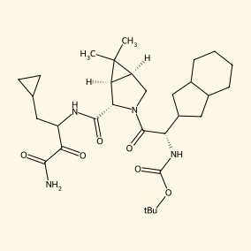 CC(C)(C)OC(=O)N[C@H](C(=O)N1C[C@H]2[C@@H]([C@H]1C(=O)NC(CC1CC1)C(=O)C(N)=O)C2(C)C)C1CC2CCCCC2C1